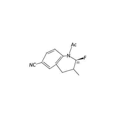 CC(=O)N1c2ccc(C#N)cc2CC(C)[C@@H]1F